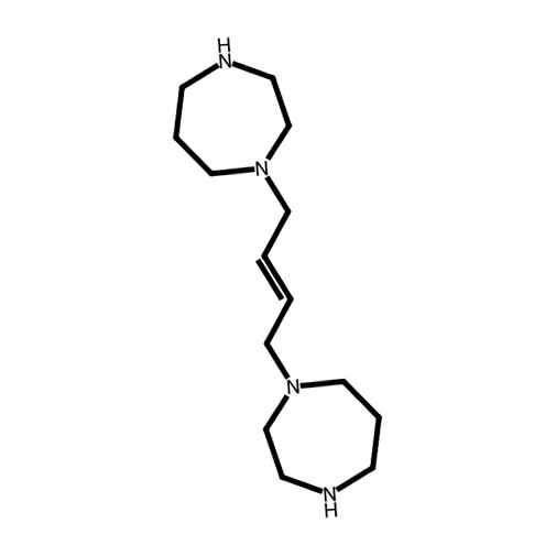 C(=CCN1CCCNCC1)CN1CCCNCC1